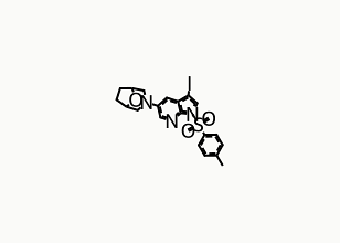 Cc1ccc(S(=O)(=O)n2cc(I)c3cc(N4CC5CCC(C4)O5)cnc32)cc1